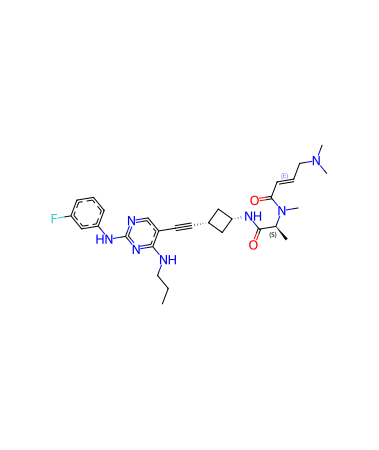 CCCNc1nc(Nc2cccc(F)c2)ncc1C#C[C@H]1C[C@@H](NC(=O)[C@H](C)N(C)C(=O)/C=C/CN(C)C)C1